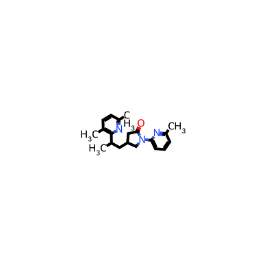 Cc1cccc(N2CC(CC(C)c3nc(C)ccc3C)CC2=O)n1